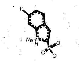 O=S(=O)([O-])c1cc2ccc(F)cc2[nH]1.[Na+]